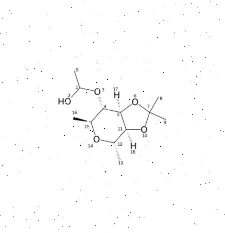 CC(O)O[C@@H]1[C@H]2OC(C)(C)O[C@H]2[C@H](C)O[C@H]1C